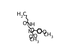 C=CCCC(=O)NCC1=NC(C(=O)OC)=C(c2ccc(OC)cc2)C1